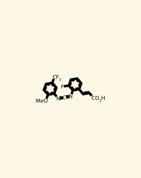 COc1ccc(C(F)(F)F)cc1N=C=Nc1c(F)cccc1/C=C/C(=O)O